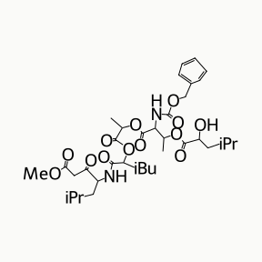 CCC(C)C(OC(=O)C(C)OC(=O)C(NC(=O)OCc1ccccc1)C(C)OC(=O)C(O)CC(C)C)C(=O)NC(CC(C)C)C(=O)CC(=O)OC